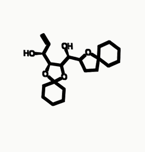 C=C[C@H](O)[C@@H]1OC2(CCCCC2)OC1[C@@H](O)C1CCC2(CCCCC2)O1